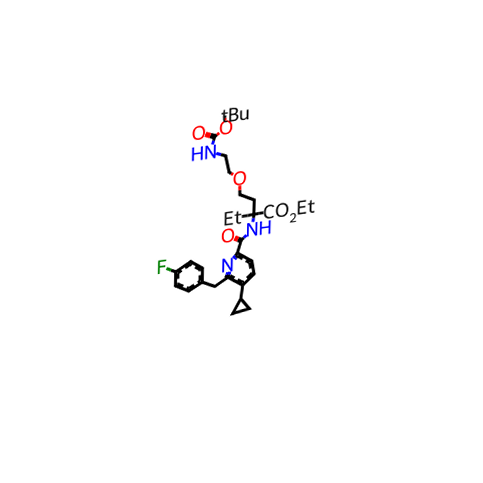 CCOC(=O)C(CC)(CCOCCNC(=O)OC(C)(C)C)NC(=O)c1ccc(C2CC2)c(Cc2ccc(F)cc2)n1